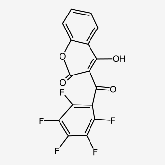 O=C(c1c(F)c(F)c(F)c(F)c1F)c1c(O)c2ccccc2oc1=O